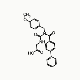 COc1ccc(CN(C(=O)NCC(=O)O)C(=O)c2ccc(-c3ccccc3)cc2)cc1